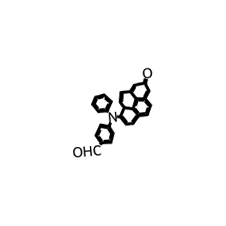 O=Cc1ccc(N(C2=CC=c3ccc4c5c3C2C=CC5=CC(=O)C=4)c2ccccc2)cc1